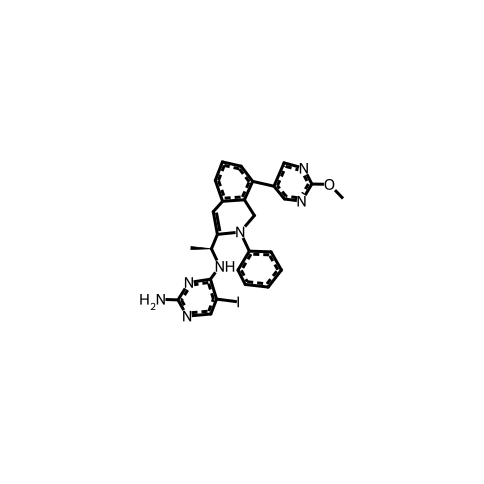 COc1ncc(-c2cccc3c2CN(c2ccccc2)C([C@H](C)Nc2nc(N)ncc2I)=C3)cn1